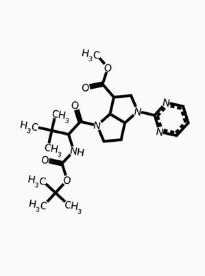 COC(=O)C1CN(c2ncccn2)C2CCN(C(=O)C(NC(=O)OC(C)(C)C)C(C)(C)C)C12